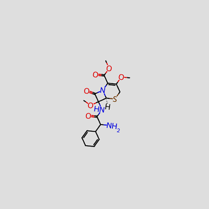 COC(=O)C1=C(OC)CS[C@@H]2N1C(=O)C2(NC(=O)C(N)C1C=CCC=C1)OC